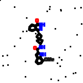 COc1cccc2cc(C(=O)N[C@H]3CC4(C3)C[C@H](c3n[nH]c(=O)c5ccccc53)C4)[nH]c12